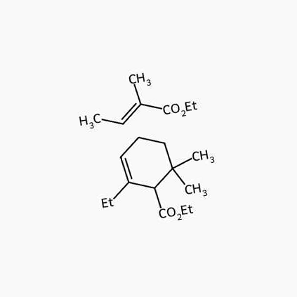 CC=C(C)C(=O)OCC.CCOC(=O)C1C(CC)=CCCC1(C)C